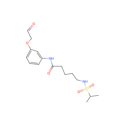 CC(C)S(=O)(=O)NCCCCC(=O)Nc1cccc(OCC=O)c1